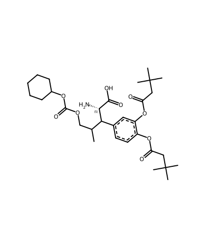 CC(COC(=O)OC1CCCCC1)C(c1ccc(OC(=O)CC(C)(C)C)c(OC(=O)CC(C)(C)C)c1)[C@H](N)C(=O)O